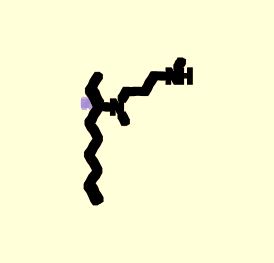 C=CCCCC/C(=C/C)N(C)CCCNC